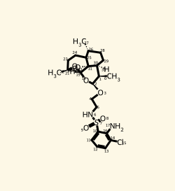 C[C@H]1[C@@H](OCCNS(=O)(=O)c2cccc(Cl)c2N)O[C@@H]2O[C@@]3(C)CCC4[C@H](C)CC[C@@H]1[C@]42OO3